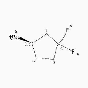 CC(C)(C)[C@@H]1CCC(F)(F)C1